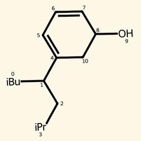 CCC(C)C(CC(C)C)C1=CC=CC(O)C1